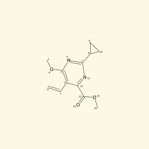 C=Cc1c(OC)nc(C2CC2)nc1C(=O)OC